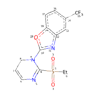 CCS(=O)(=O)C1=NC=CCN1c1nc2cc(C(F)(F)F)ccc2o1